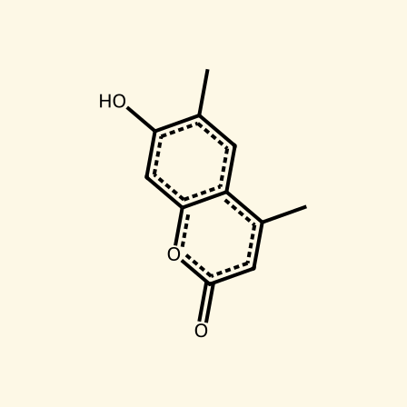 Cc1cc2c(C)cc(=O)oc2cc1O